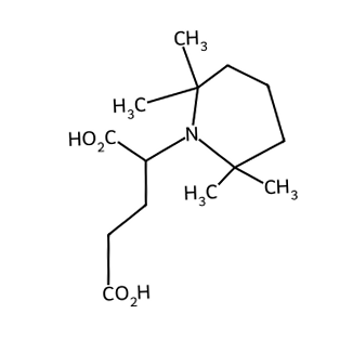 CC1(C)CCCC(C)(C)N1C(CCC(=O)O)C(=O)O